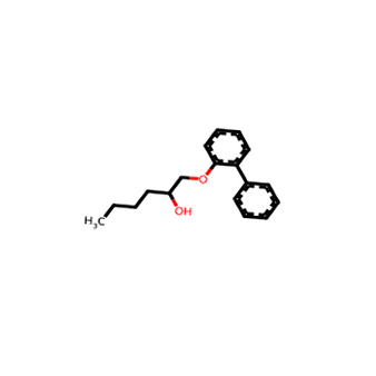 CCCCC(O)COc1ccccc1-c1ccccc1